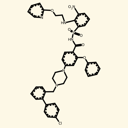 O=C(NS(=O)(=O)c1cccc([N+](=O)[O-])c1NCCOc1ccccn1)c1ccc(N2CCN(Cc3ccccc3-c3ccc(Cl)cc3)CC2)cc1Oc1ccccc1